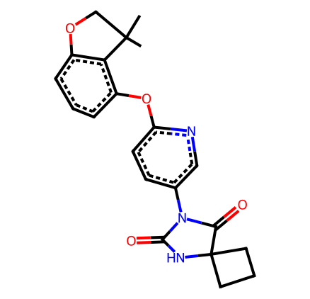 CC1(C)COc2cccc(Oc3ccc(N4C(=O)NC5(CCC5)C4=O)cn3)c21